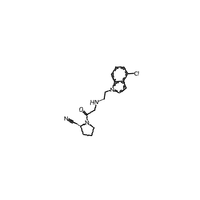 N#C[C@@H]1CCCN1C(=O)CNCCn1ccc2c(Cl)cccc21